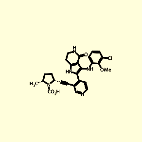 COc1c(Cl)cccc1Nc1c(-c2ccncc2C#C[C@H]2CC[C@@H](C)N2C(=O)O)[nH]c2c1C(=O)NCC2